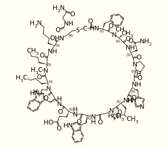 CCCC[C@H]1C(=O)N(C)[C@@H](CCCC)C(=O)N[C@@H](CCCCN)C(=O)N[C@H](C(=O)NCC(N)=O)CSCC(=O)N[C@@H](Cc2ccccc2)C(=O)N(C)[C@@H](C)C(=O)N[C@@H](CC(N)=O)C(=O)N2CCC[C@H]2C(=O)N[C@@H](Cc2cnc[nH]2)C(=O)N[C@@H](CC(C)C)C(=O)N(C)CC(=O)N[C@@H](Cc2c[nH]c3ccccc23)C(=O)N[C@@H](CCC(=O)O)C(=O)N[C@@H](Cc2c[nH]c3ccccc23)C(=O)N1C